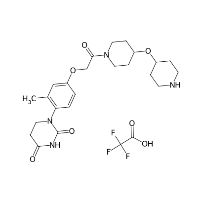 Cc1cc(OCC(=O)N2CCC(OC3CCNCC3)CC2)ccc1N1CCC(=O)NC1=O.O=C(O)C(F)(F)F